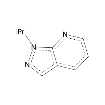 CC(C)n1ncc2cccnc21